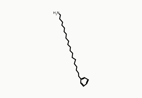 NCCCCCCCCCCCCCCCCCCCCc1ccccc1